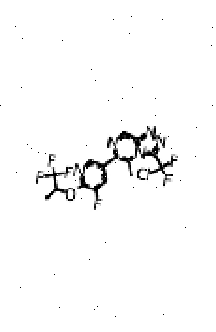 Cc1c(-c2cnc(OC(C)C(F)(F)F)c(F)c2)ncc2nnc(C(F)(F)Cl)n12